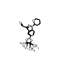 CC1(C)OB(c2ccc3c(c2)c(C=O)nn3C2CCCCO2)OC1(C)C